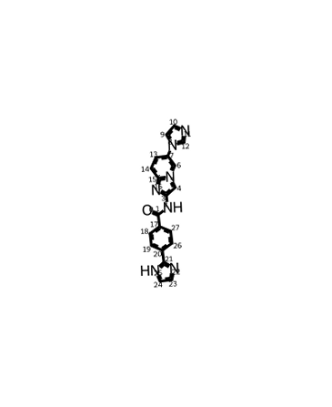 O=C(Nc1cn2cc(-n3ccnc3)ccc2n1)c1ccc(-c2ncc[nH]2)cc1